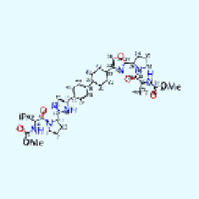 COC(=O)N[C@H](C(=O)N1CCCC1c1ncc(-c2ccc(C3CCC(c4coc(C5CCCN5C(=O)[C@@H](NC(=O)OC)C(C)C)n4)CC3)cc2)[nH]1)C(C)C